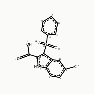 O=C(O)c1[nH]c2ccc(Cl)cc2c1S(=O)(=O)c1ccccc1